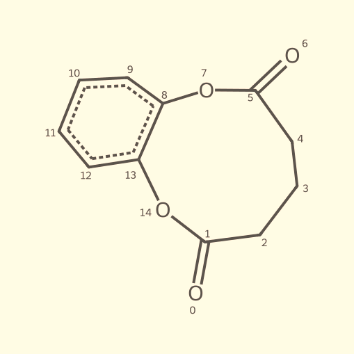 O=C1CCCC(=O)Oc2ccccc2O1